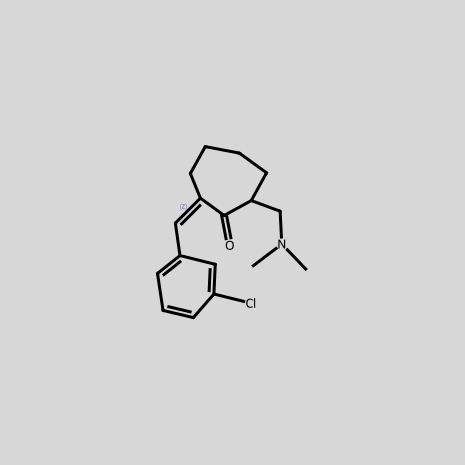 CN(C)CC1CCCC/C(=C/c2cccc(Cl)c2)C1=O